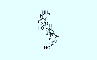 C=C1N=C(N)C=CN1[C@@H]1O[C@H](COP(=O)(N[C@H](C)C(=O)OC(C)C)OCCSC(=O)C(C)(C)CO)[C@@H](O)[C@@]1(C)Cl